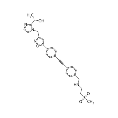 C[C@H](O)c1nccn1Cc1cc(-c2ccc(C#Cc3ccc(CNCCS(C)(=O)=O)cc3)cc2)on1